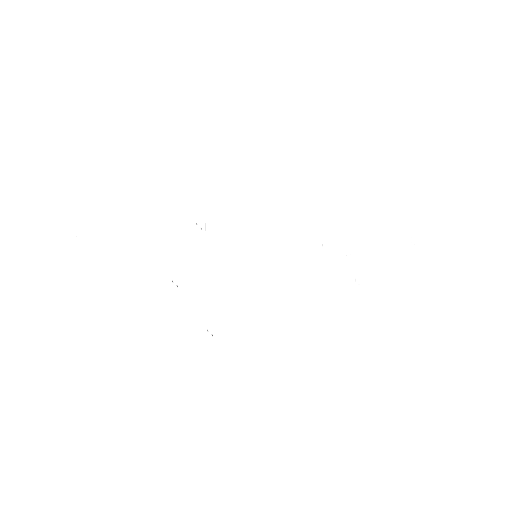 C=CC(=O)Oc1ccc2ncnc(Nc3cccc(Br)c3)c2c1